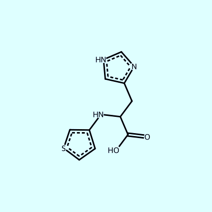 O=C(O)C(Cc1c[nH]cn1)Nc1ccsc1